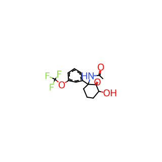 CC(=O)NC1(c2cccc(OC(F)(F)F)c2)CCCC(O)C1=O